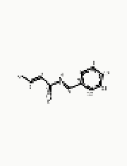 CC=CC(=O)N=Cc1ccccc1